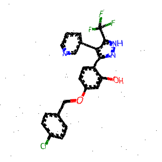 Oc1cc(OCc2ccc(Cl)cc2)ccc1-c1n[nH]c(C(F)(F)F)c1-c1cccnc1